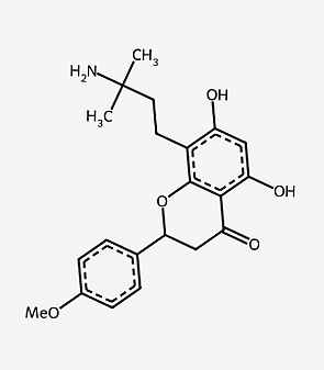 COc1ccc(C2CC(=O)c3c(O)cc(O)c(CCC(C)(C)N)c3O2)cc1